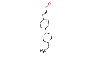 CCC1CCC(C2CCC(C=CC=O)CC2)CC1